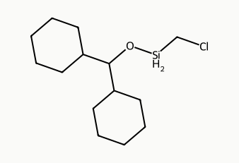 ClC[SiH2]OC(C1CCCCC1)C1CCCCC1